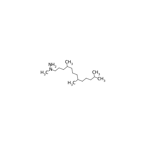 CC(C)CCCC(C)CCCC(C)CCCN(C)N